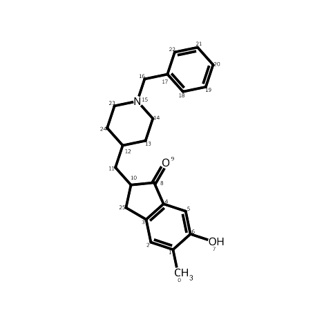 Cc1cc2c(cc1O)C(=O)C(CC1CCN(Cc3ccccc3)CC1)C2